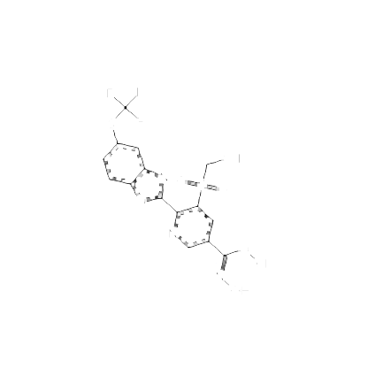 CCS(=O)(=O)c1cc(/C(=N/O)OC)cnc1-c1nc2cc(SC(F)(F)F)ccc2o1